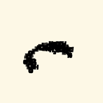 CC1(C)C(NC(=O)c2ccc(N3CCN(CCCCOc4ccc5c(c4)C(=O)N(C4CCC(=O)NC4=O)C5=O)CC3)nc2)C(C)(C)C1Oc1ccc(C#N)c(Cl)c1